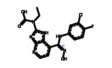 CCN(C(=O)O)c1nc2nccc(/C(=N\O)Nc3ccc(F)c(Cl)c3)c2[nH]1